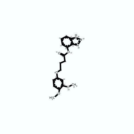 COc1ccc(OCCCC(=O)Oc2cccc3[nH]nnc23)cc1OC